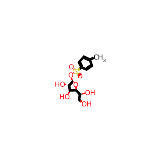 Cc1ccc(S(=O)(=O)O[C@H]2O[C@@H]([C@@H](O)CO)[C@@H](O)[C@@H]2O)cc1